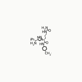 [CH2]c1ccc(NC(=O)[C@H](CCCNC(N)=O)n2cc([C@@H](N)C(C)C)nn2)cc1